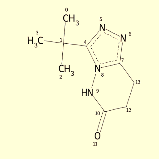 CC(C)(C)c1nnc2n1NC(=O)CC2